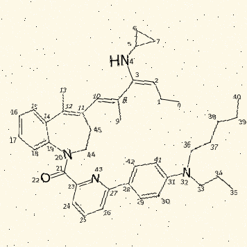 CC/C=C(NC1CC1)\C(C)=C\C1=C(C)c2ccccc2N(C(=O)c2cccc(-c3ccc(N(CCC)CCCCC)cc3)n2)CC1